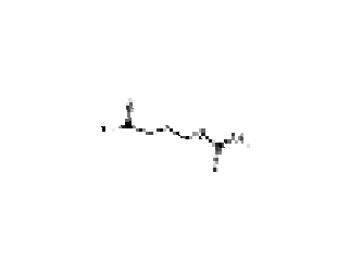 BC(=O)OCCCC(=O)O